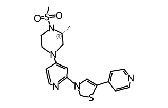 C[C@@H]1CN(c2ccnc(N3C=C(c4ccncc4)SC3)c2)CCN1S(C)(=O)=O